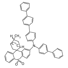 C[C@@H]1C[C@@H]2CCCC1CC21c2ccccc2S(=O)(=O)c2ccc(N(c3ccc(-c4ccccc4)cc3)c3ccc(-c4ccc(-c5ccccc5)cc4)cc3)cc21